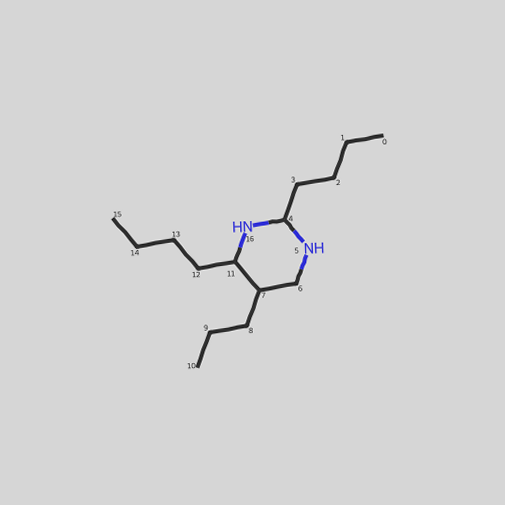 CCCCC1NCC(CCC)C(CCCC)N1